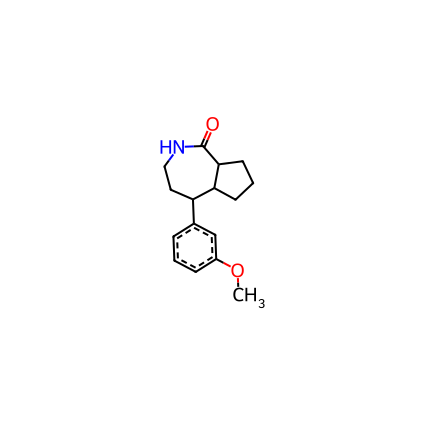 COc1cccc(C2CCNC(=O)C3CCCC32)c1